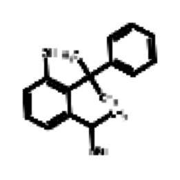 CCCCC(C)c1cccc(O)c1C(C)(C)c1ccccc1